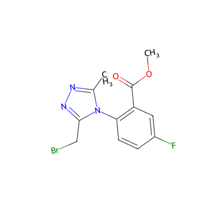 COC(=O)c1cc(F)ccc1-n1c(C)nnc1CBr